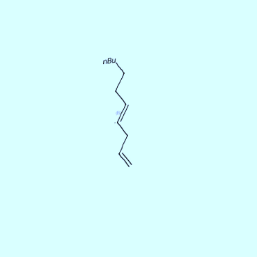 C=CC/[C]=C/CCCCCC